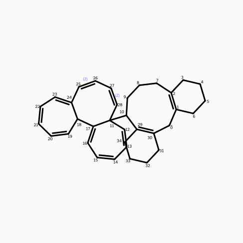 [CH]1C2=C(CCCC2)CCCC(C23C=CC=CC=C2C2C=CC=CC=C2/C=C\C=C/3)C2=C1CCCC2